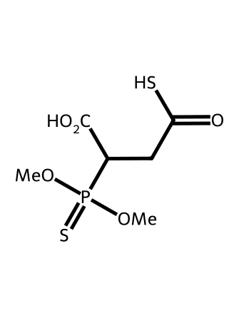 COP(=S)(OC)C(CC(=O)S)C(=O)O